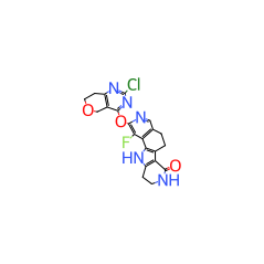 O=C1NCCc2[nH]c3c(c21)CCc1cnc(Oc2nc(Cl)nc4c2COCC4)c(F)c1-3